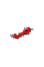 O=C(O)CC[C@H](NC(=O)N[C@@H](CCCCNC(=O)CCCCCNC(=O)CCc1ccc(O)c(CN(CCN(CC(=O)O)Cc2cc(CCC(=O)N[C@@H](CC(=O)O)C(=O)O)ccc2O)CC(=O)O)c1)C(=O)O)C(=O)O